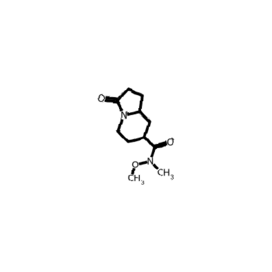 CON(C)C(=O)C1CCN2C(=O)CCC2C1